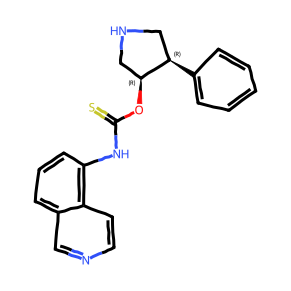 S=C(Nc1cccc2cnccc12)O[C@H]1CNC[C@H]1c1ccccc1